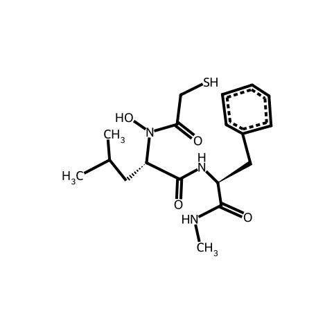 CNC(=O)[C@H](Cc1ccccc1)NC(=O)[C@H](CC(C)C)N(O)C(=O)CS